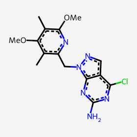 COc1nc(Cn2ncc3c(Cl)nc(N)nc32)c(C)c(OC)c1C